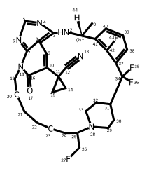 C[C@H]1Nc2ncnc3c2cc(C2(C#N)CC2)c(=O)n3CCCCCCC(CF)N2CCC(CC2)C(F)(F)c2cccc1c2F